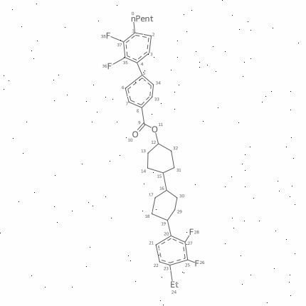 CCCCCc1ccc(-c2ccc(C(=O)OC3CCC(C4CCC(c5ccc(CC)c(F)c5F)CC4)CC3)cc2)c(F)c1F